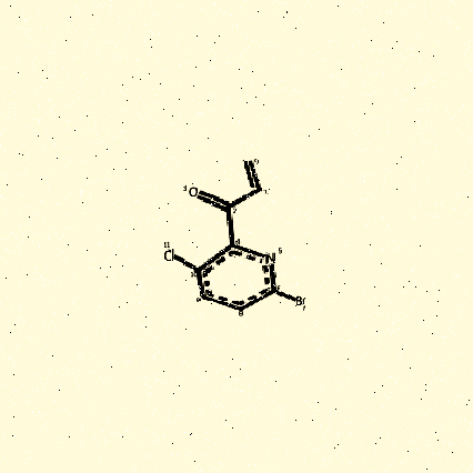 C=CC(=O)c1nc(Br)ccc1Cl